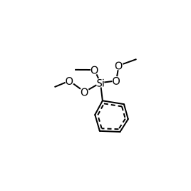 COO[Si](OC)(OOC)c1ccccc1